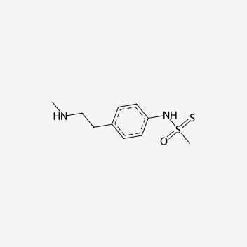 CNCCc1ccc(NS(C)(=O)=S)cc1